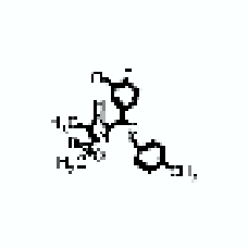 Cc1ccc(COC(c2ccc(F)c(Cl)c2)c2nc(S(C)(=O)=O)c(C)[nH]2)cc1